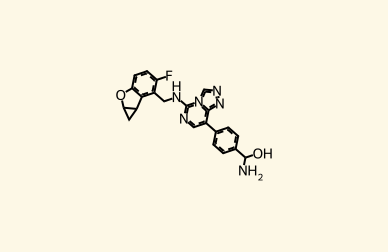 NC(O)c1ccc(-c2cnc(NCc3c(F)ccc4c3C3CC3O4)n3cnnc23)cc1